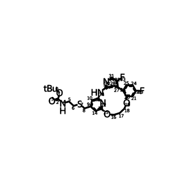 CC(C)(C)OC(=O)NCCSCc1cc2nc(c1)OCCCOc1cc(F)ccc1-c1cc(ncc1F)N2